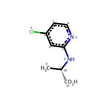 C[C@H](Nc1cc(Cl)ccn1)C(=O)O